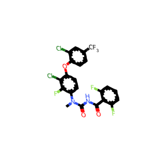 CN(C(=O)NC(=O)c1c(F)cccc1F)c1ccc(Oc2ccc(C(F)(F)F)cc2Cl)c(Cl)c1F